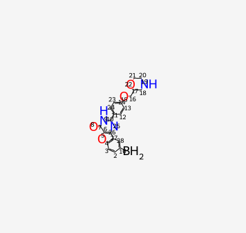 Bc1ccc2oc3c(=O)[nH]c(-c4ccc(OCC5CNCCO5)cc4)nc3c2c1